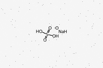 O=S(=O)(O)O.[NaH].[O]